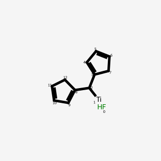 F.[Ti][CH](C1=CC=CC1)C1=CC=CC1